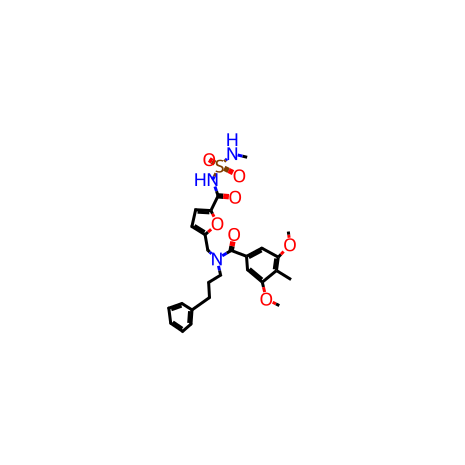 CNS(=O)(=O)NC(=O)c1ccc(CN(CCCc2ccccc2)C(=O)c2cc(OC)c(C)c(OC)c2)o1